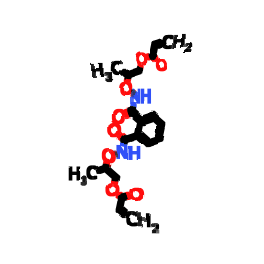 C=CC(=O)OCC(C)ONC(=O)c1ccccc1C(=O)NOC(C)COC(=O)C=C